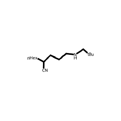 CCCCCCC(C#N)CCCNCC(C)(C)C